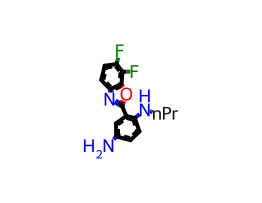 CCCNc1ccc(N)cc1-c1nc2ccc(F)c(F)c2o1